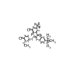 CCc1cc(CCN(Cc2ccc(C(C)(C)C)cc2)C(=O)c2cc(C(F)(F)F)cc(Cl)c2F)ccc1Cl